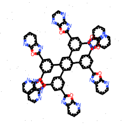 c1cnc2oc(-c3cc(-c4nc5cccnc5o4)cc(-c4cc(-c5cc(-c6nc7cccnc7o6)cc(-c6nc7cccnc7o6)c5)c(-c5cc(-c6nc7cccnc7o6)cc(-c6nc7nccnc7o6)c5)cc4-c4cc(-c5nc6cccnc6o5)cc(-c5nc6cccnc6o5)c4)c3)nc2c1